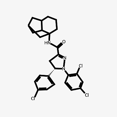 O=C(NC12CCCC3CC(CC31)C2)C1=NN(c2ccc(Cl)cc2Cl)[C@H](c2ccc(Cl)cc2)C1